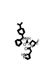 CC(C)c1ccc([C@@H](NC(=O)[C@@H]2C[C@@H](F)CN2C(=O)Cc2ccn[nH]2)c2ccccc2)cc1